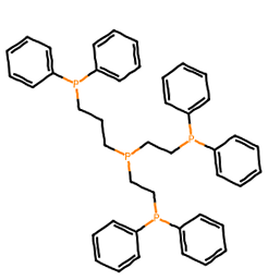 c1ccc(P(CCCP(CCP(c2ccccc2)c2ccccc2)CCP(c2ccccc2)c2ccccc2)c2ccccc2)cc1